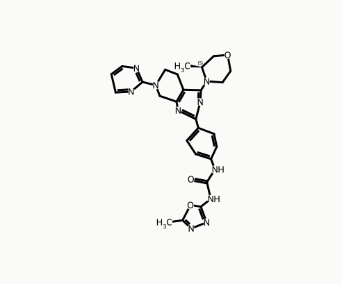 Cc1nnc(NC(=O)Nc2ccc(-c3nc4c(c(N5CCOC[C@@H]5C)n3)CCN(c3ncccn3)C4)cc2)o1